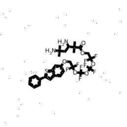 CC(C)(N)CC(N)C(C)(C)C(=O)OCC(F)(F)OC(F)(F)OC(F)(F)OC(F)(F)COc1ccc2cc(-c3ccccc3)sc2c1